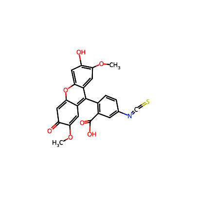 COc1cc2c(-c3ccc(N=C=S)cc3C(=O)O)c3cc(OC)c(=O)cc-3oc2cc1O